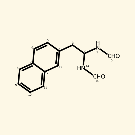 O=CNC(Cc1ccc2ccccc2c1)NC=O